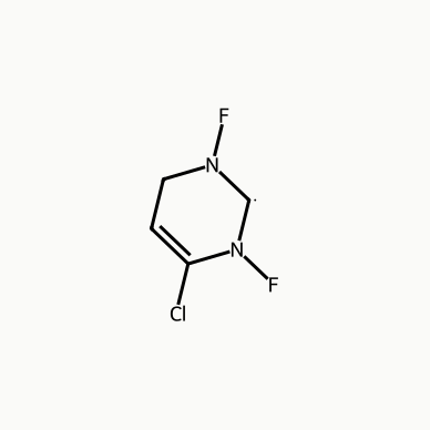 FN1[CH]N(F)C(Cl)=CC1